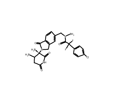 BC1CC(=O)NC(=O)[C@@]1(B)N1Cc2cc(CN(B)C(=O)C(F)(F)c3ccc(Cl)cc3)ccc2C1=O